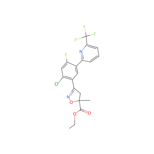 CCOC(=O)C1(C)CC(c2cc(-c3cccc(C(F)(F)F)n3)c(F)cc2Cl)=NO1